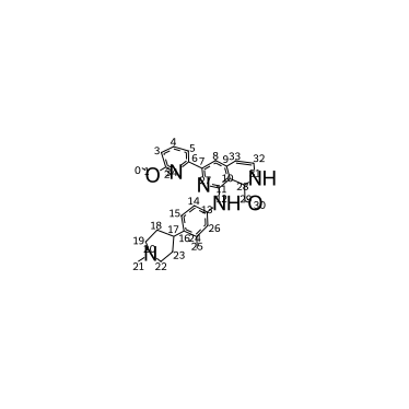 COc1cccc(-c2cc3c(c(Nc4ccc(C5CCN(C)CC5)c(C)c4)n2)C(C=O)NC=C3)n1